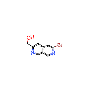 OCc1cc2cc(Br)ncc2cn1